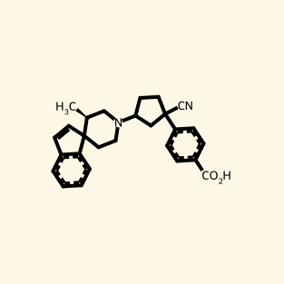 C[C@H]1CN(C2CCC(C#N)(c3ccc(C(=O)O)cc3)C2)CCC12C=Cc1ccccc12